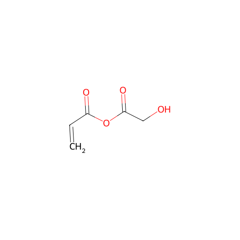 C=CC(=O)OC(=O)CO